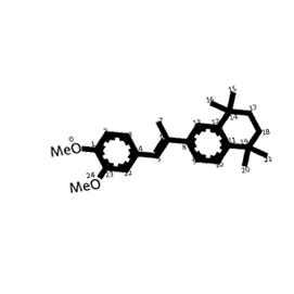 COc1ccc(C=C(C)c2ccc3c(c2)C(C)(C)CCC3(C)C)cc1OC